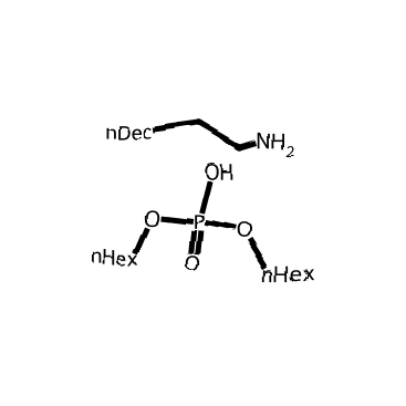 CCCCCCCCCCCCN.CCCCCCOP(=O)(O)OCCCCCC